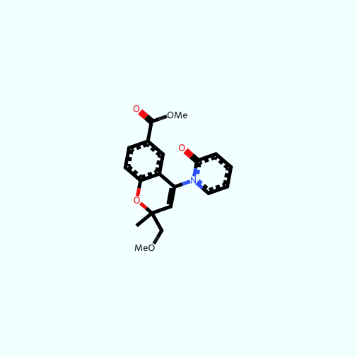 COCC1(C)C=C(n2ccccc2=O)c2cc(C(=O)OC)ccc2O1